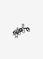 O=S(=O)(Nc1nccs1)c1cc(Cl)c(NCCC2=CCSC=C2)cc1F